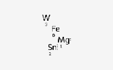 [Fe].[Mg].[Sn].[W]